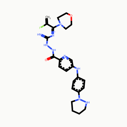 C=C(F)/C(=N\C(=N)NNC(=O)c1ccc(Nc2ccc(N3CCCCN3)cc2)cn1)N1CCOCC1